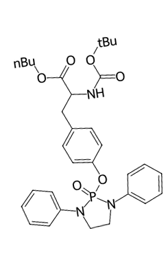 CCCCOC(=O)C(Cc1ccc(OP2(=O)N(c3ccccc3)CCN2c2ccccc2)cc1)NC(=O)OC(C)(C)C